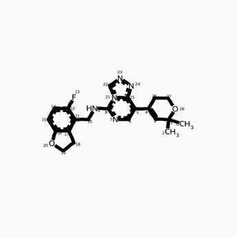 CC1(C)C=C(c2cnc(NCc3c(F)ccc4c3CCO4)n3cnnc23)CCO1